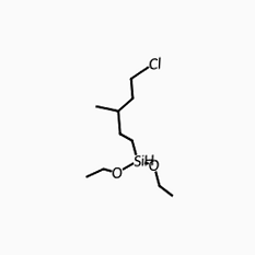 CCO[SiH](CCC(C)CCCl)OCC